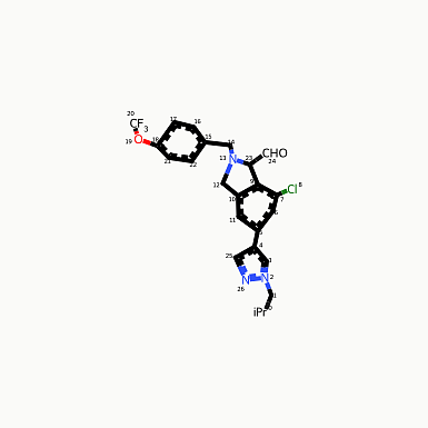 CC(C)Cn1cc(-c2cc(Cl)c3c(c2)CN(Cc2ccc(OC(F)(F)F)cc2)C3C=O)cn1